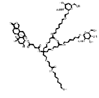 CC(=O)N[C@H]1[C@H](OCCCCCCNC(=O)CCOCCC(CCOCCC(=O)NCCCCCCO)(CCOCCC(=O)NCCCCCCOCC[C@@H]2O[C@H](CO)C[C@H](O)[C@H]2NC(C)=O)NC(=O)CCC(=O)O[C@@H]2C(C(C)C)C[C@@H]3O[C@]34[C@]23O[C@H]3CC2C3=C(CC[C@@]24C)C(=O)OC3)O[C@H](CO)[C@H](O)[C@@H]1O